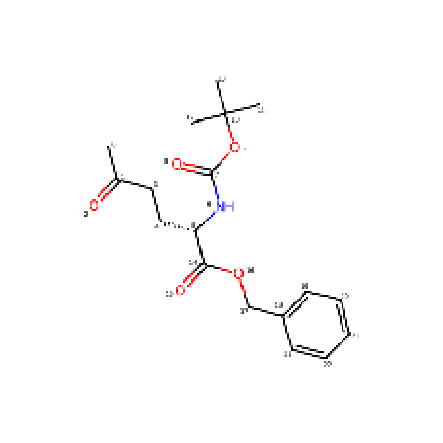 CC(=O)CC[C@H](NC(=O)OC(C)(C)C)C(=O)OCc1ccccc1